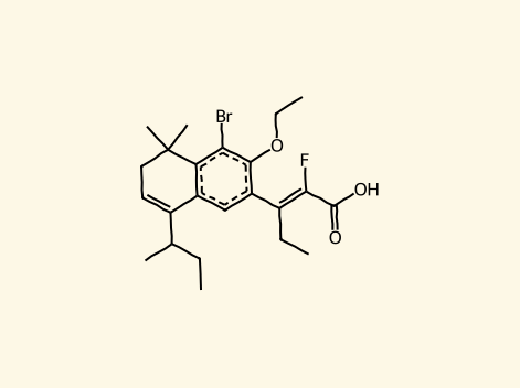 CCOc1c(C(CC)=C(F)C(=O)O)cc2c(c1Br)C(C)(C)CC=C2C(C)CC